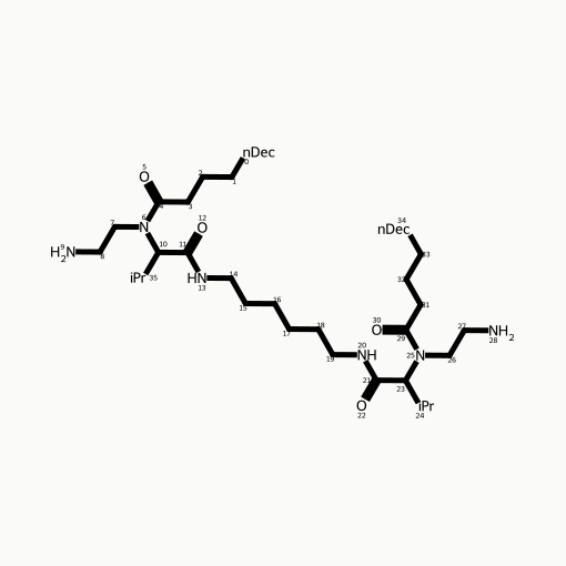 CCCCCCCCCCCCCC(=O)N(CCN)C(C(=O)NCCCCCCNC(=O)C(C(C)C)N(CCN)C(=O)CCCCCCCCCCCCC)C(C)C